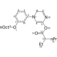 CCCCCCCCOc1cccc(N2C=C(OC(=O)C(CC)CCC)N=CC2)c1